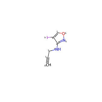 C#CCNc1nocc1I